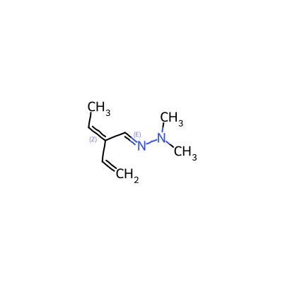 C=CC(=C/C)/C=N/N(C)C